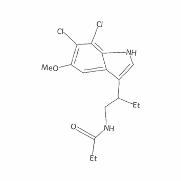 CCC(=O)NCC(CC)c1c[nH]c2c(Cl)c(Cl)c(OC)cc12